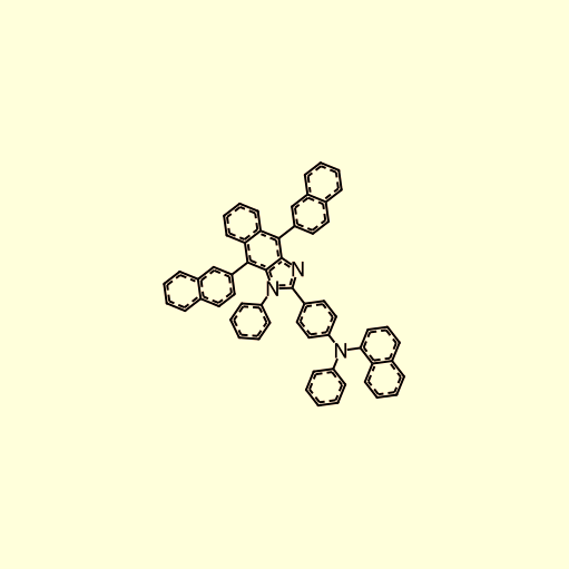 c1ccc(N(c2ccc(-c3nc4c(-c5ccc6ccccc6c5)c5ccccc5c(-c5ccc6ccccc6c5)c4n3-c3ccccc3)cc2)c2cccc3ccccc23)cc1